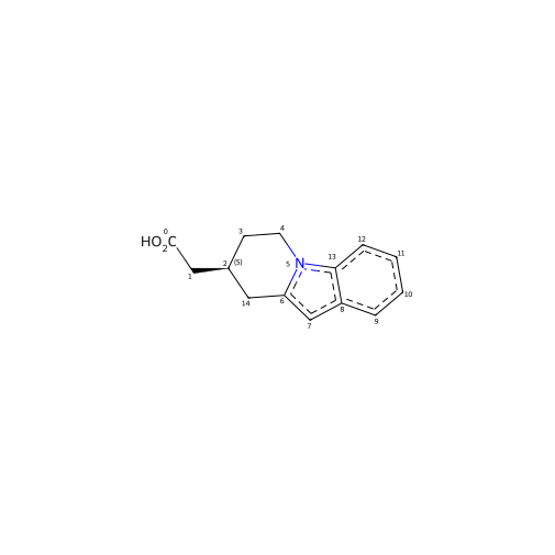 O=C(O)C[C@H]1CCn2c(cc3ccccc32)C1